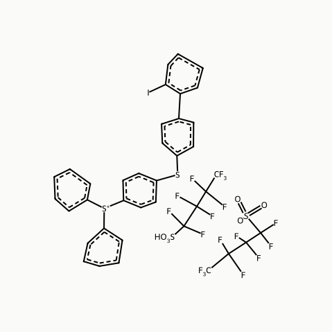 Ic1ccccc1-c1ccc(Sc2ccc([S+](c3ccccc3)c3ccccc3)cc2)cc1.O=S(=O)(O)C(F)(F)C(F)(F)C(F)(F)C(F)(F)F.O=S(=O)([O-])C(F)(F)C(F)(F)C(F)(F)C(F)(F)F